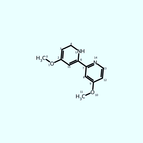 COC1=CCNC(c2cc(OC)ccn2)=C1